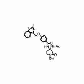 CC(=O)NC1(NC(=O)c2ccc(OCc3cc(C)nc4ccccc34)cc2)CCN(O)C(=O)C1